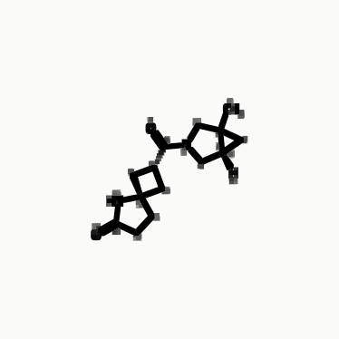 CC12C[C@@H]1CN(C(=O)[C@H]1C[C@]3(CCC(=O)N3)C1)C2